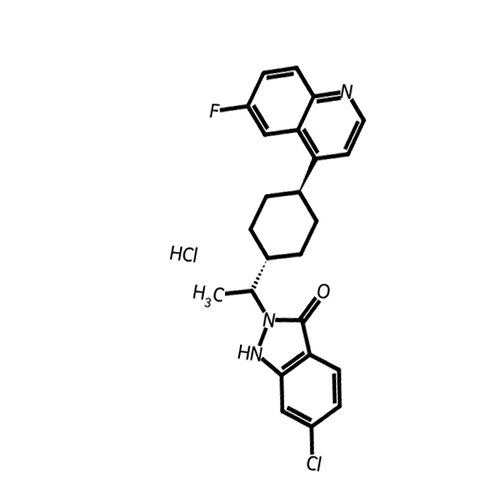 CC([C@H]1CC[C@H](c2ccnc3ccc(F)cc32)CC1)n1[nH]c2cc(Cl)ccc2c1=O.Cl